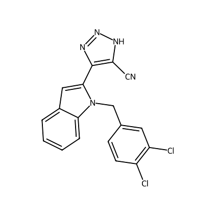 N#Cc1[nH]nnc1-c1cc2ccccc2n1Cc1ccc(Cl)c(Cl)c1